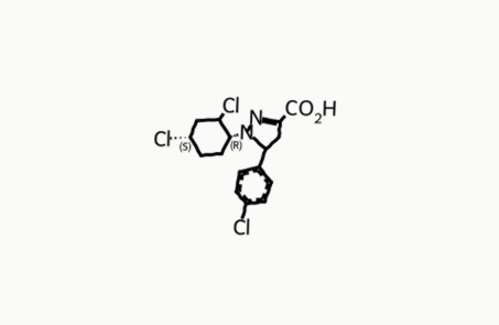 O=C(O)C1=NN([C@@H]2CC[C@H](Cl)CC2Cl)C(c2ccc(Cl)cc2)C1